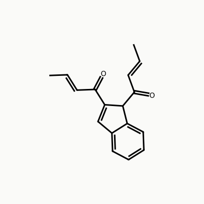 CC=CC(=O)C1=Cc2ccccc2C1C(=O)C=CC